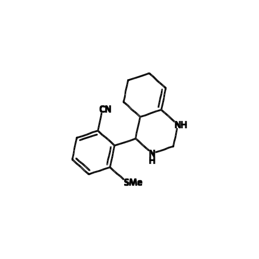 CSc1cccc(C#N)c1C1NCNC2=CCCCC21